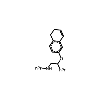 CCCNCC(CCC)Oc1ccc2c(c1)C=CCC2